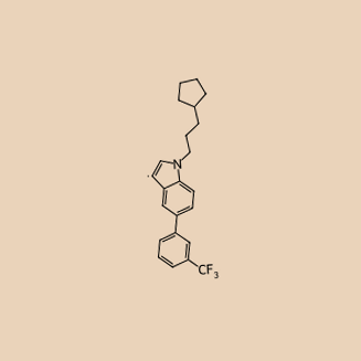 FC(F)(F)c1cccc(-c2ccc3c([c]cn3CCCC3CCCC3)c2)c1